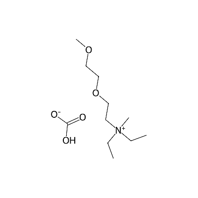 CC[N+](C)(CC)CCOCCOC.O=C([O-])O